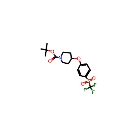 CC(C)(C)OC(=O)N1CCC(Oc2ccc(S(=O)(=O)C(F)(F)F)cc2)CC1